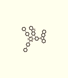 c1ccc(-c2ccc(-c3nc(-c4ccc(-c5ccccc5)cc4)nc(-c4ccc(-n5c6ccccc6c6cc7ccccc7cc65)cc4-c4ccc5c(c4)sc4ccccc45)n3)cc2)cc1